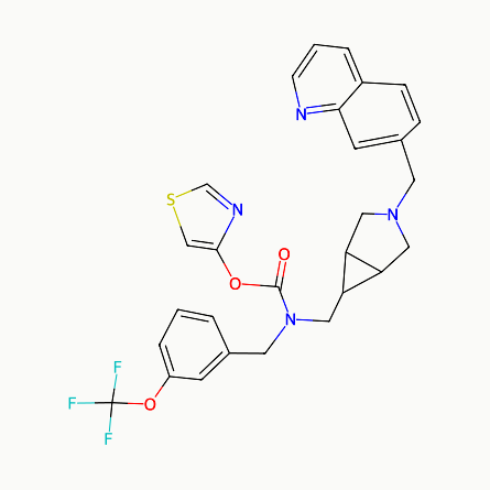 O=C(Oc1cscn1)N(Cc1cccc(OC(F)(F)F)c1)CC1C2CN(Cc3ccc4cccnc4c3)CC21